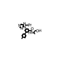 Cc1ccc(-c2cc(C(=O)NC(C)CO)cc(-n3c(C(C)C)nc4cncnc43)c2)cc1